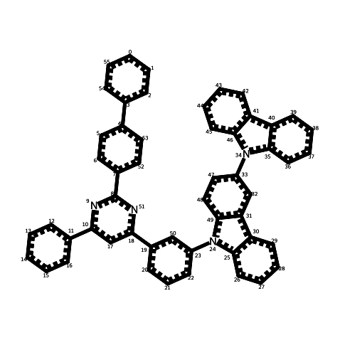 c1ccc(-c2ccc(-c3nc(-c4ccccc4)cc(-c4cccc(-n5c6ccccc6c6cc(-n7c8ccccc8c8ccccc87)ccc65)c4)n3)cc2)cc1